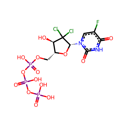 O=c1[nH]c(=O)n([C@@H]2O[C@H](COP(=O)(O)OP(=O)(O)OP(=O)(O)O)[C@@H](O)C2(Cl)Cl)cc1F